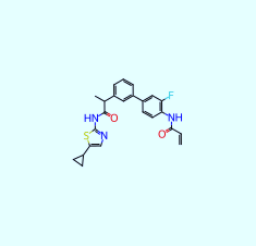 C=CC(=O)Nc1ccc(-c2cccc(C(C)C(=O)Nc3ncc(C4CC4)s3)c2)cc1F